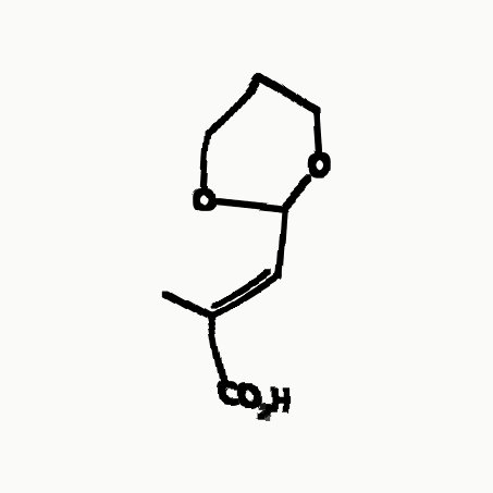 CC(=CC1OCCCO1)C(=O)O